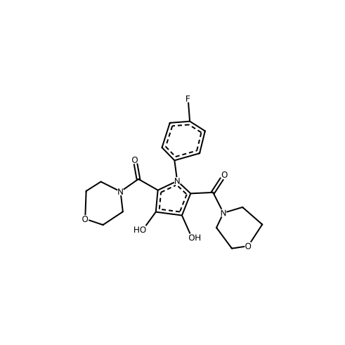 O=C(c1c(O)c(O)c(C(=O)N2CCOCC2)n1-c1ccc(F)cc1)N1CCOCC1